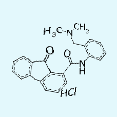 CN(C)Cc1ccccc1NC(=O)c1cccc2c1C(=O)c1ccccc1-2.Cl